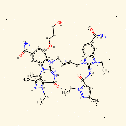 CCn1nc(C)cc1C(=O)/N=c1/n(CC)c2cc(C(N)=O)ccc2n1C/C=C/Cn1/c(=N/C(=O)c2cc(C)nn2CC)n(CC)c2cc(C(N)=O)cc(OCCCO)c21